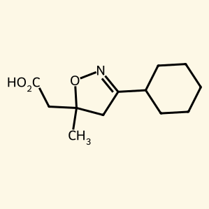 CC1(CC(=O)O)CC(C2CCCCC2)=NO1